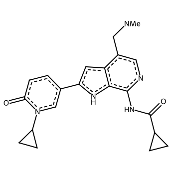 CNCc1cnc(NC(=O)C2CC2)c2[nH]c(-c3ccc(=O)n(C4CC4)c3)cc12